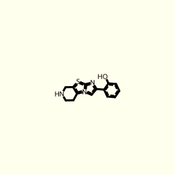 Oc1ccccc1-c1cn2c3c(sc2n1)CNCC3